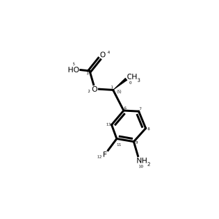 C[C@H](OC(=O)O)c1ccc(N)c(F)c1